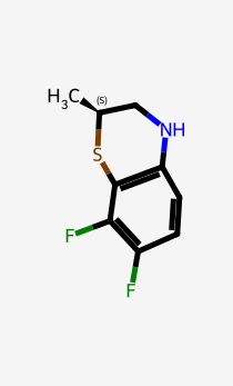 C[C@H]1CNc2ccc(F)c(F)c2S1